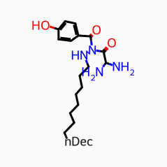 CCCCCCCCCCCCCCCCCCNN(C(=O)c1ccc(O)cc1)C(=O)C(N)N